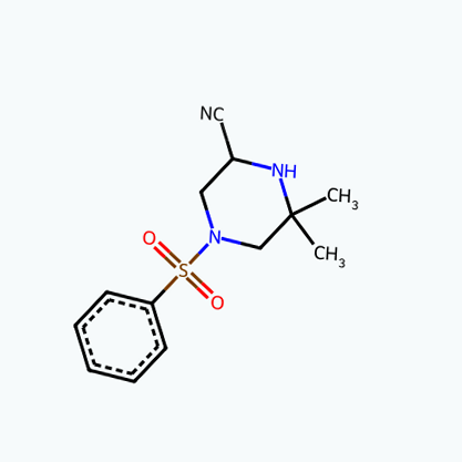 CC1(C)CN(S(=O)(=O)c2ccccc2)CC(C#N)N1